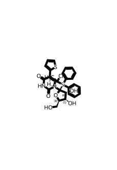 CC(C)(C)[Si](c1ccccc1)(c1ccccc1)[C@]1(n2cc(-c3cccs3)c(=O)[nH]c2=O)O[C@H](CO)[C@@H](O)[C@H]1O